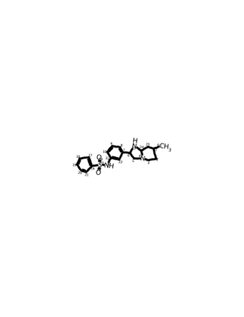 CC1CCN2CC(c3cccc(NS(=O)(=O)c4ccccc4)c3)NC2C1